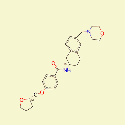 O=C(N[C@H]1CCc2cc(CN3CCOCC3)ccc2C1)c1ccc(OC[C@@H]2CCCO2)cc1